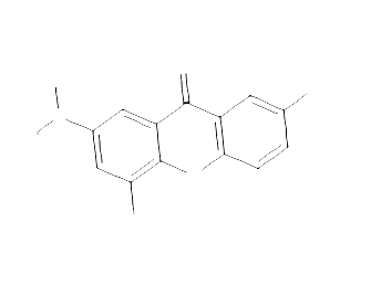 CCC[S+]([O-])c1cc(CC)c2oc3ccc(C(=O)O)cc3c(=O)c2c1